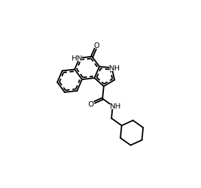 O=C(NCC1CCCCC1)c1c[nH]c2c(=O)[nH]c3ccccc3c12